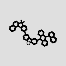 CC1(C)c2ccc(-c3ccc4oc5ccc(-c6c7ccccc7c(-c7cccc8ccccc78)c7ccccc67)cc5c4c3)cc2-c2c1ccc1ccccc21